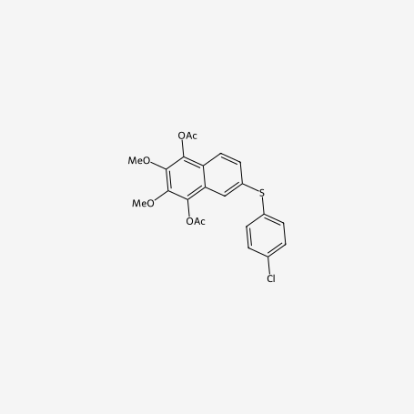 COc1c(OC)c(OC(C)=O)c2cc(Sc3ccc(Cl)cc3)ccc2c1OC(C)=O